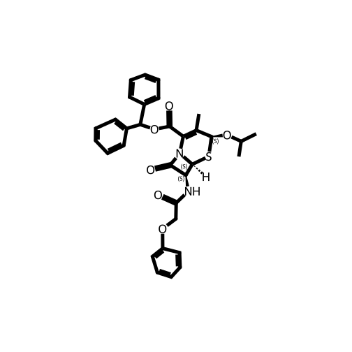 CC1=C(C(=O)OC(c2ccccc2)c2ccccc2)N2C(=O)[C@H](NC(=O)COc3ccccc3)[C@@H]2S[C@@H]1OC(C)C